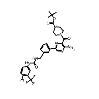 CC(C)(C)OC(=O)N1CCN(C(=O)c2nc(-c3cccc(CNC(=O)Nc4ccc(Cl)c(C(F)(F)F)c4)c3)cnc2N)CC1